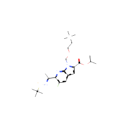 C/C(=N\[S+]([O-])C(C)(C)C)c1nc2c(cc1F)cc(C(=O)OC(C)C)n2COCC[Si](C)(C)C